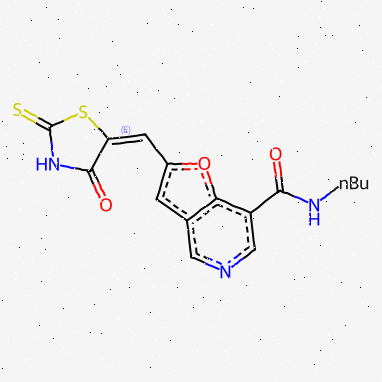 CCCCNC(=O)c1cncc2cc(/C=C3/SC(=S)NC3=O)oc12